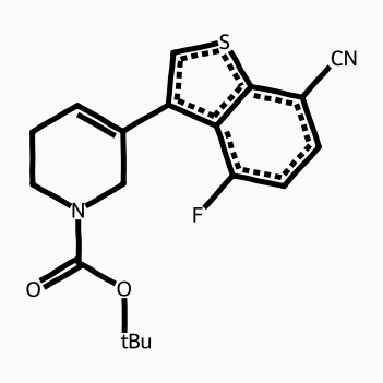 CC(C)(C)OC(=O)N1CCC=C(c2csc3c(C#N)ccc(F)c23)C1